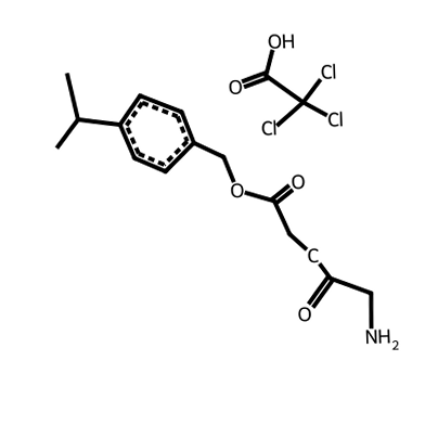 CC(C)c1ccc(COC(=O)CCC(=O)CN)cc1.O=C(O)C(Cl)(Cl)Cl